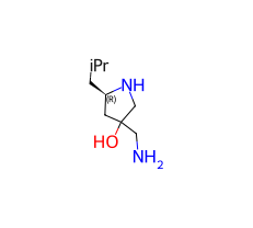 CC(C)C[C@@H]1CC(O)(CN)CN1